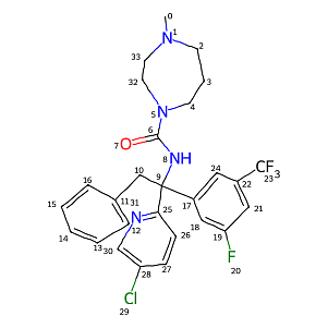 CN1CCCN(C(=O)NC(Cc2ccccc2)(c2cc(F)cc(C(F)(F)F)c2)c2ccc(Cl)cn2)CC1